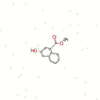 CC(C)OC(=O)c1cc(O)cc2ccccc12